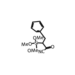 CO[Si](OC)(OC)C(Cc1ccccc1)C(=O)C#N